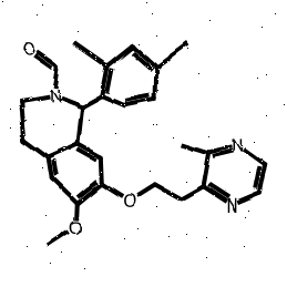 COc1cc2c(cc1OCCc1nccnc1C)C(c1ccc(C)cc1C)N(C=O)CC2